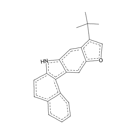 CC(C)(C)c1coc2cc3c(cc12)[nH]c1ccc2ccccc2c13